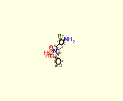 Nc1ccc(C[C@H]2CC[C@H](C(O)c3ccccc3)N2C(=O)O)cc1Br